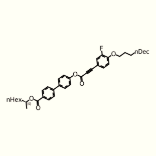 CCCCCCCCCCCCCOc1ccc(C#CC(=O)Oc2ccc(-c3ccc(C(=O)O[C@@H](C)CCCCCC)cc3)cc2)cc1F